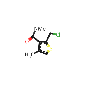 CNC(=O)c1c(C)csc1CCl